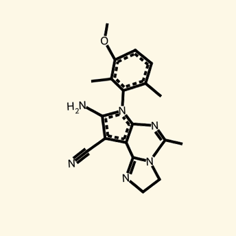 COc1ccc(C)c(-n2c(N)c(C#N)c3c2N=C(C)N2CCN=C32)c1C